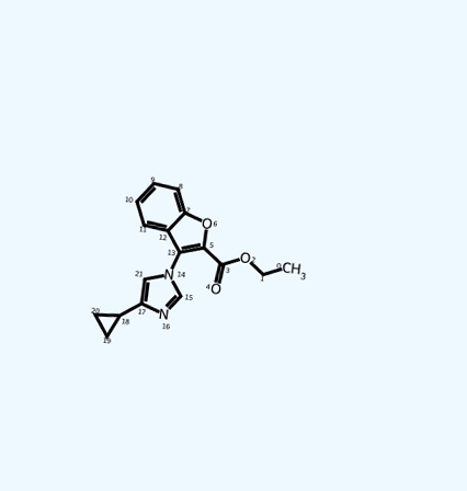 CCOC(=O)c1oc2ccccc2c1-n1cnc(C2CC2)c1